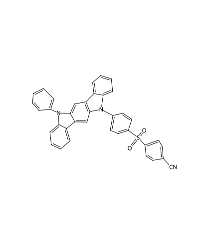 N#Cc1ccc(S(=O)(=O)c2ccc(-n3c4ccccc4c4cc5c(cc43)c3ccccc3n5-c3ccccc3)cc2)cc1